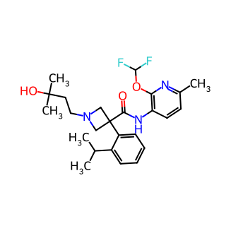 Cc1ccc(NC(=O)C2(c3ccccc3C(C)C)CN(CCC(C)(C)O)C2)c(OC(F)F)n1